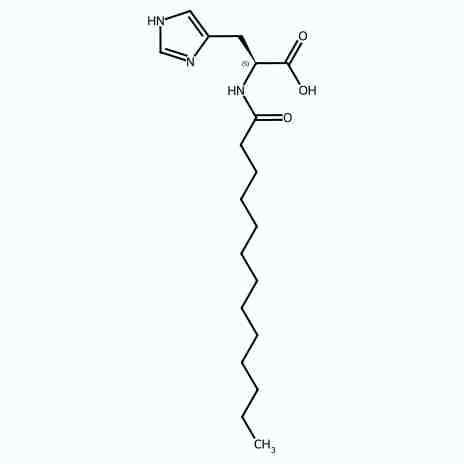 CCCCCCCCCCCCC(=O)N[C@@H](Cc1c[nH]cn1)C(=O)O